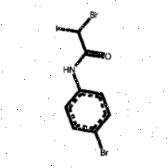 O=C(Nc1ccc(Br)cc1)C(Br)I